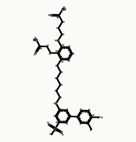 Cc1cc(-c2cc(OCCCCCCc3cccc(OCCCC(=O)O)c3CCC(=O)O)cc(S(C)(=O)=O)c2)ccc1F